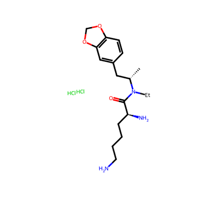 CCN(C(=O)[C@@H](N)CCCCN)[C@@H](C)Cc1ccc2c(c1)OCO2.Cl.Cl